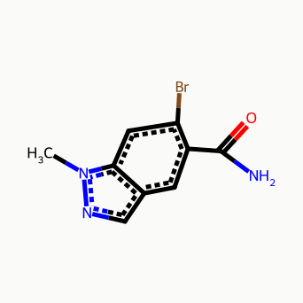 Cn1ncc2cc(C(N)=O)c(Br)cc21